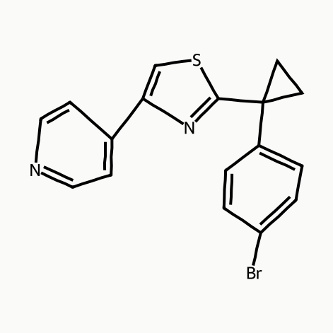 Brc1ccc(C2(c3nc(-c4ccncc4)cs3)CC2)cc1